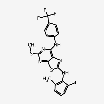 CSc1nc(Nc2ccc(C(F)(F)F)cc2)c2nc(Nc3c(C)cccc3I)sc2n1